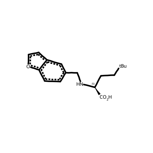 CC(C)(C)CC[C@H](NCc1ccc2occc2c1)C(=O)O